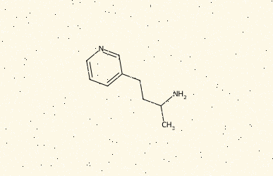 CC(N)CCc1cccnc1